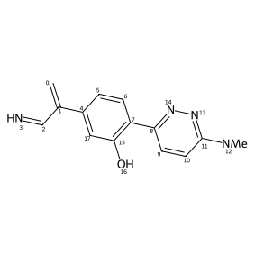 C=C(C=N)c1ccc(-c2ccc(NC)nn2)c(O)c1